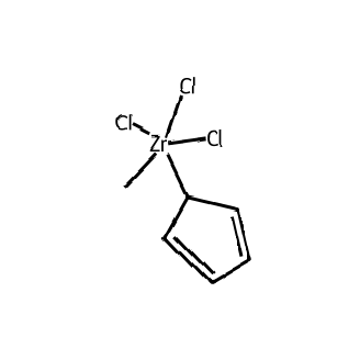 [CH3][Zr]([Cl])([Cl])([Cl])[CH]1C=CC=C1